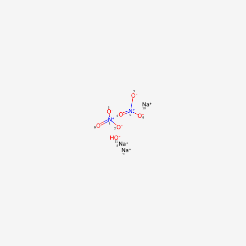 O=[N+]([O-])[O-].O=[N+]([O-])[O-].[Na+].[Na+].[Na+].[OH-]